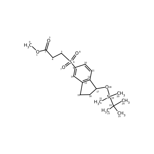 COC(=O)CCS(=O)(=O)c1ccc2c(c1)CCC2O[Si](C)(C)C(C)(C)C